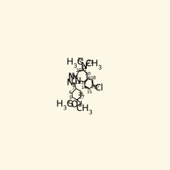 CCC1(OC)CCC(c2nnc3n2-c2ccc(Cl)cc2CC(N(C)C)C3)CC1